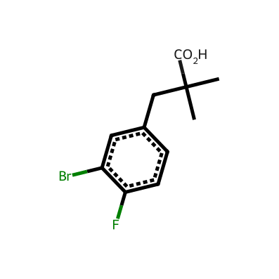 CC(C)(Cc1ccc(F)c(Br)c1)C(=O)O